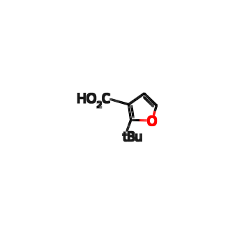 CC(C)(C)c1occc1C(=O)O